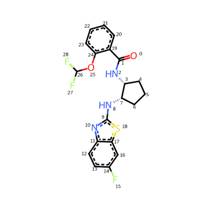 O=C(N[C@@H]1CCC[C@@H]1Nc1nc2ccc(F)cc2s1)c1ccccc1OC(F)F